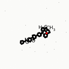 CC1(C)c2ccccc2-c2c(N(c3ccccc3)c3ccc(-c4ccc5c(c4)oc4cc6oc(-c7ccccc7)nc6cc45)cc3)cccc21